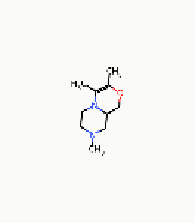 CC1=C(C)N2CCN(C)CC2CO1